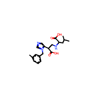 Cc1cccc(Cn2cncc2C(CNC(CC(C)C)C(=O)O)C(=O)O)c1